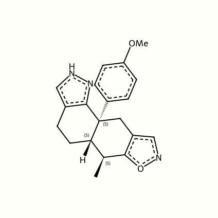 COc1ccc([C@]23Cc4cnoc4[C@@H](C)[C@@H]2CCc2c[nH]nc23)cc1